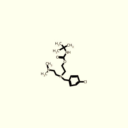 CN(C)CCN(CCOC(=O)NC(C)(C)C)Cc1ccc(Cl)cc1